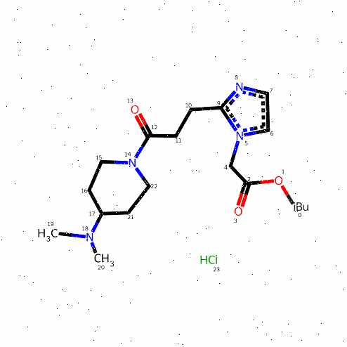 CCC(C)OC(=O)Cn1ccnc1CCC(=O)N1CCC(N(C)C)CC1.Cl